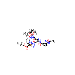 CCOC(=O)c1sc(NC(=O)C[C@H](CCCNC(=O)OC(C)(C)C)NC(=O)c2cccc(-c3noc(C)n3)c2)nc1C